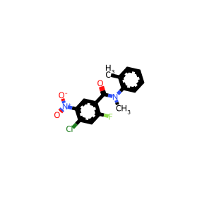 Cc1ccccc1N(C)C(=O)c1cc([N+](=O)[O-])c(Cl)cc1F